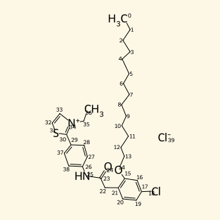 CCCCCCCCCCCCCCOc1cc(Cl)ccc1CC(=O)Nc1ccc(-c2scc[n+]2CC)cc1.[Cl-]